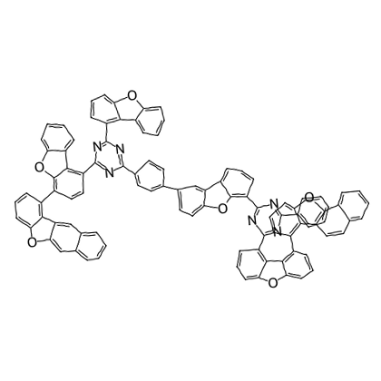 c1ccc(-c2nc(-c3cccc4c3oc3ccc(-c5ccc(-c6nc(-c7cccc8oc9ccccc9c78)nc(-c7ccc(-c8cccc9oc%10cc%11ccccc%11cc%10c89)c8oc9ccccc9c78)n6)cc5)cc34)nc(-c3cccc4oc5cccc(-c6cccc7oc8c9ccccc9ccc8c67)c5c34)n2)cc1